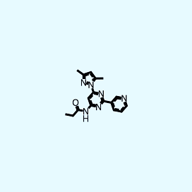 CCC(=O)Nc1cc(-n2nc(C)cc2C)nc(-c2cccnc2)n1